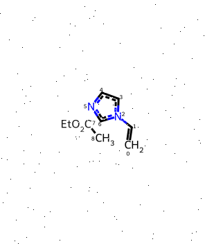 C=Cn1ccnc1.CCOC(C)=O